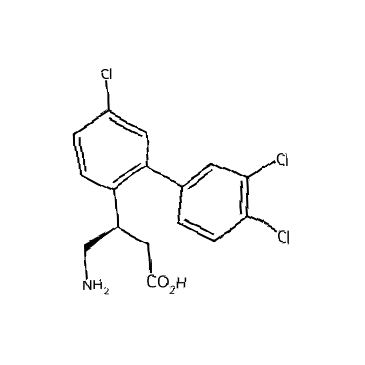 NC[C@H](CC(=O)O)c1ccc(Cl)cc1-c1ccc(Cl)c(Cl)c1